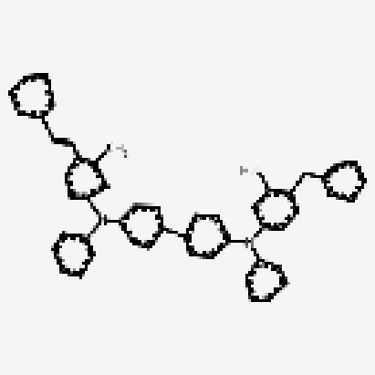 Cc1cc(N(c2ccccc2)c2ccc(-c3ccc(N(c4ccccc4)c4ccc(Cc5ccccc5)c(C)c4)cc3)cc2)ccc1C=Cc1ccccc1